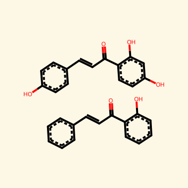 O=C(C=Cc1ccc(O)cc1)c1ccc(O)cc1O.O=C(C=Cc1ccccc1)c1ccccc1O